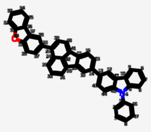 c1ccc(-n2c3ccccc3c3cc(-c4ccc5c(c4)-c4cccc6c(-c7ccc8oc9ccccc9c8c7)ccc-5c46)ccc32)cc1